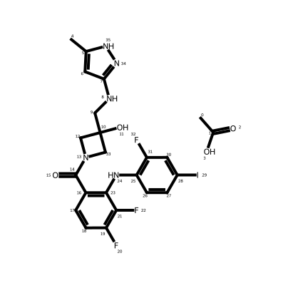 CC(=O)O.Cc1cc(NCC2(O)CN(C(=O)c3ccc(F)c(F)c3Nc3ccc(I)cc3F)C2)n[nH]1